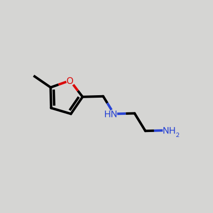 Cc1ccc(CNCCN)o1